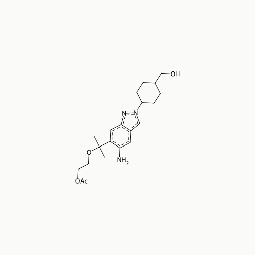 CC(=O)OCCOC(C)(C)c1cc2nn(C3CCC(CO)CC3)cc2cc1N